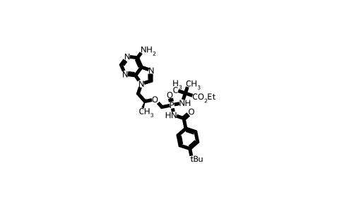 CCOC(=O)C(C)(C)NP(=O)(CO[C@@H](C)Cn1cnc2c(N)ncnc21)NC(=O)c1ccc(C(C)(C)C)cc1